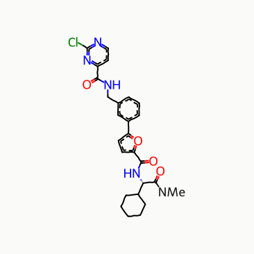 CNC(=O)[C@@H](NC(=O)c1ccc(-c2cccc(CNC(=O)c3ccnc(Cl)n3)c2)o1)C1CCCCC1